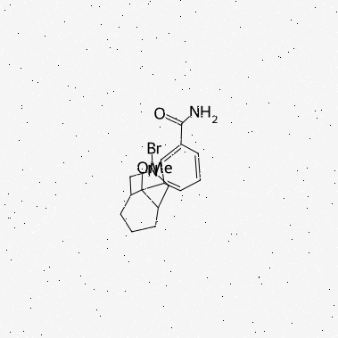 COC1(c2cccc(C(N)=O)c2)C2CCCC1CN(Br)C2